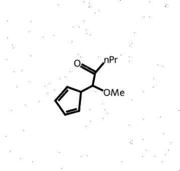 CCCC(=O)C(OC)C1C=CC=C1